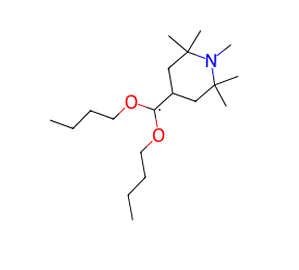 CCCCO[C](OCCCC)C1CC(C)(C)N(C)C(C)(C)C1